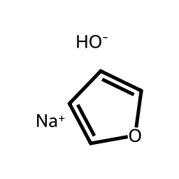 [Na+].[OH-].c1ccoc1